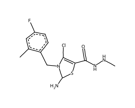 CNNC(=O)C1=C(Cl)N(Cc2ccc(F)cc2C)C(N)S1